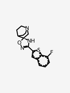 Fc1cccc2cc(C3=NO[C@]4(CN5CCC4CC5)N3)sc12